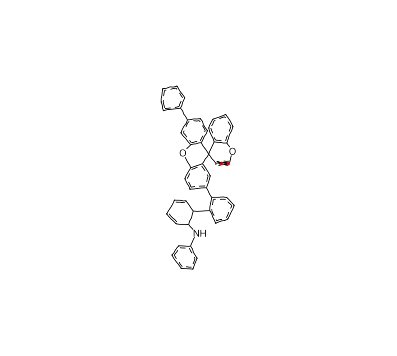 C1=CC(Nc2ccccc2)C(c2ccccc2-c2ccc3c(c2)C2(c4ccccc4Oc4ccccc42)c2ccc(-c4ccccc4)cc2O3)C=C1